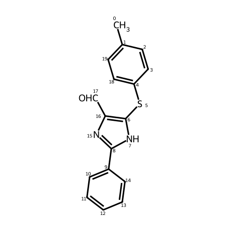 Cc1ccc(Sc2[nH]c(-c3ccccc3)nc2C=O)cc1